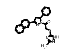 Cc1n[nH]c(SCC(=O)N2N=C(c3ccc4ccccc4c3)CC2c2ccccc2)n1